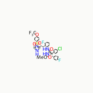 COC(=O)N[C@H](C(=O)Nc1cccc(F)c1CC[C@H]1CNC[C@H](C)N1S(=O)(=O)c1ccc(OC(F)(F)F)cc1)[C@@H](Cc1ccc(F)cc1)c1ccc(Cl)cc1